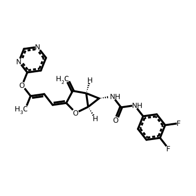 C=C1/C(=C\C=C(/C)Oc2ccncn2)O[C@@H]2[C@@H](NC(=O)Nc3ccc(F)c(F)c3)[C@H]12